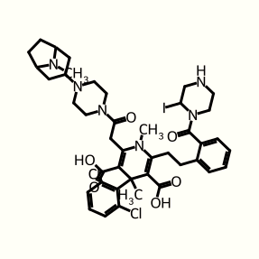 CN1C(CCc2ccccc2C(=O)N2CCNCC2I)=C(C(=O)O)C(C)(c2c(Cl)cccc2Cl)C(C(=O)O)=C1CC(=O)N1CCN(C2CC3CCC(C2)N3C)CC1